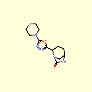 O=C1NC2CCC(c3nnc(N4CCNCC4)o3)N1C2